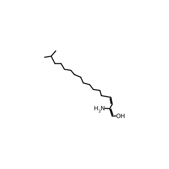 CC(C)CCCCCCCCCCC/C=C\C(N)=C/O